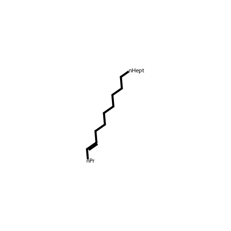 [CH2]CCC=CCCCCCCCCCCCCC[CH2]